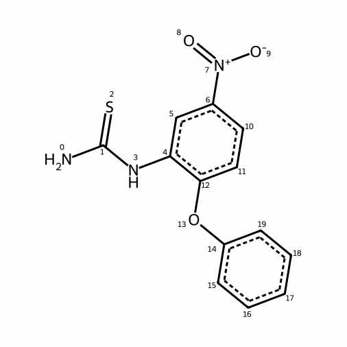 NC(=S)Nc1cc([N+](=O)[O-])ccc1Oc1ccccc1